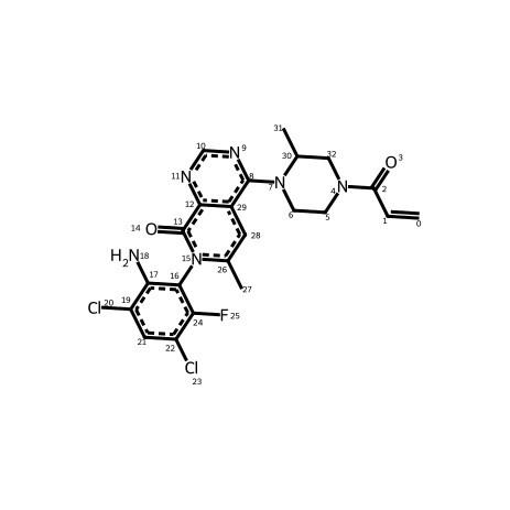 C=CC(=O)N1CCN(c2ncnc3c(=O)n(-c4c(N)c(Cl)cc(Cl)c4F)c(C)cc23)C(C)C1